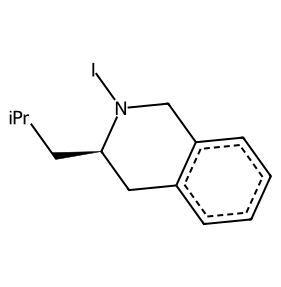 CC(C)C[C@@H]1Cc2ccccc2CN1I